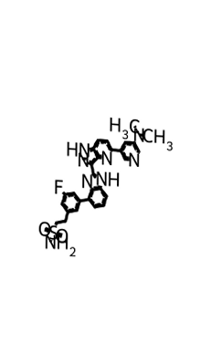 CN(C)c1cncc(-c2ccc3[nH]nc(-c4nc5c(-c6cc(F)cc(CCS(N)(=O)=O)c6)cccc5[nH]4)c3n2)c1